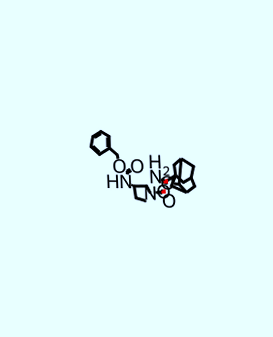 NC(=O)C12CC3CC(C1)C(OC(=O)N1CC[C@@H](NC(=O)OCc4ccccc4)C1)C(C3)C2